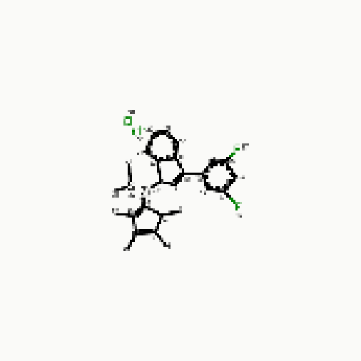 CC1=C(C)C(C)[C]([Zr+2]([CH]2C=C(c3cc(F)cc(F)c3)c3ccccc32)=[Si](C)C)=C1C.[Cl-].[Cl-]